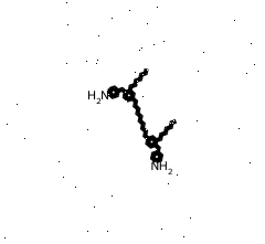 CCCCCCCc1cc(CCCCCCCCCCc2ccc(Cc3ccc(N)cc3)c(CCCCCCC)c2)ccc1Cc1ccc(N)cc1